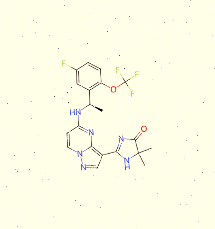 C[C@@H](Nc1ccn2ncc(C3=NC(=O)C(C)(C)N3)c2n1)c1cc(F)ccc1OC(F)(F)F